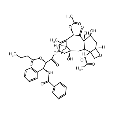 CCCC(=O)O[C@@H](C(=O)O[C@H]1C[C@@]2(O)[C@@H](O)[C@@H]3C4(OC(C)=O)CO[C@@H]4C[C@H](O)[C@@]3(C)C(=O)[C@H](OC(C)=O)C(=C1C)C2(C)C)[C@@H](NC(=O)c1ccccc1)c1ccccc1